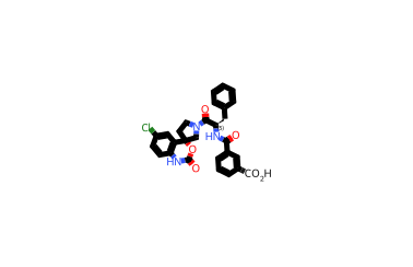 O=C1Nc2ccc(Cl)cc2C2(CCN(C(=O)[C@H](Cc3ccccc3)NC(=O)c3cccc(C(=O)O)c3)C2)O1